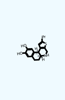 CC(C)c1cc2c(s1)CN[C@@H]1CCc3cc(O)c(O)cc3[C@@H]21